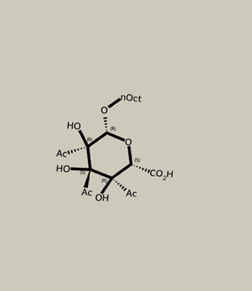 CCCCCCCCO[C@@H]1O[C@H](C(=O)O)[C@](O)(C(C)=O)[C@@](O)(C(C)=O)[C@]1(O)C(C)=O